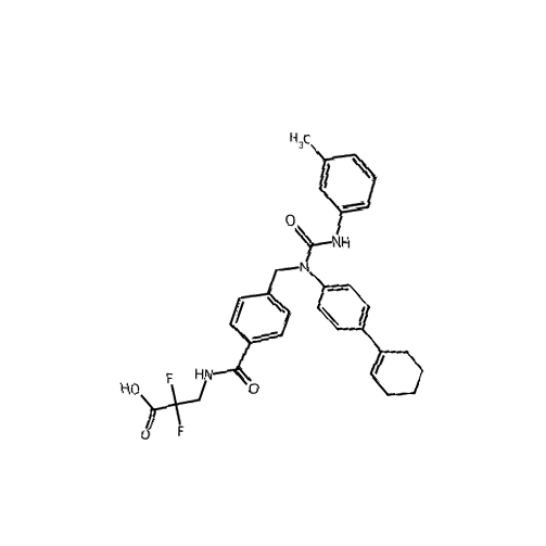 Cc1cccc(NC(=O)N(Cc2ccc(C(=O)NCC(F)(F)C(=O)O)cc2)c2ccc(C3=CCCCC3)cc2)c1